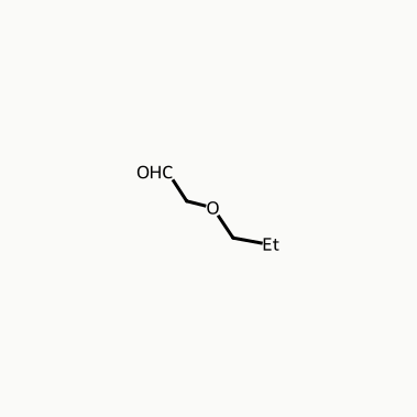 [CH]CCOCC=O